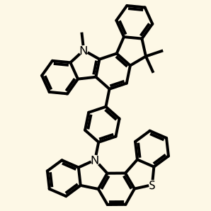 Cn1c2ccccc2c2c(-c3ccc(-n4c5ccccc5c5ccc6sc7ccccc7c6c54)cc3)cc3c(c21)-c1ccccc1C3(C)C